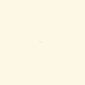 [CH2]C1CCN(CCO)C1